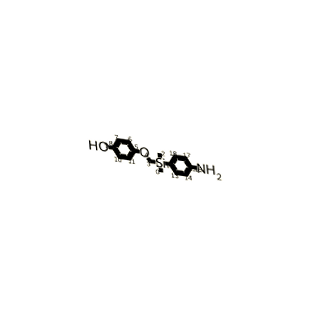 C[Si](C)(COc1ccc(O)cc1)c1ccc(N)cc1